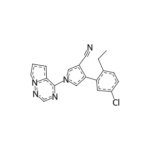 CCc1ccc(Cl)cc1-c1cn(-c2ncnn3cccc23)cc1C#N